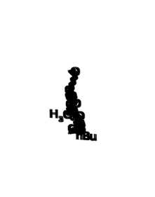 CCCCC(Oc1ccc(C(=O)Oc2ccc(OC(=O)c3ccc(OCCCCCC4CO4)cc3)cc2C)cc1)C1CO1